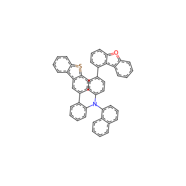 c1ccc(N(c2ccc(-c3cccc4oc5ccccc5c34)cc2)c2cccc3ccccc23)c(-c2ccc3sc4ccccc4c3c2)c1